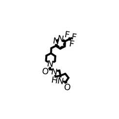 O=C1CCC2(CN(C(=O)N3CCC(Cc4ccc(C(F)(F)F)nn4)CC3)C2)N1